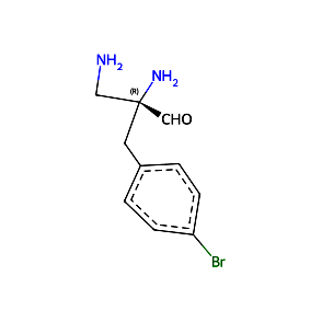 NC[C@@](N)(C=O)Cc1ccc(Br)cc1